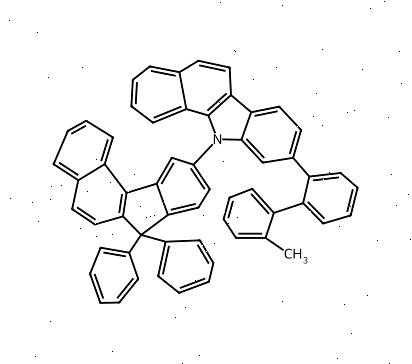 Cc1ccccc1-c1ccccc1-c1ccc2c3ccc4ccccc4c3n(-c3ccc4c(c3)-c3c(ccc5ccccc35)C4(c3ccccc3)c3ccccc3)c2c1